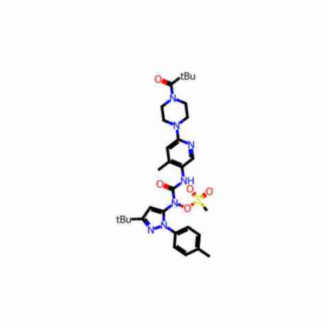 Cc1ccc(-n2nc(C(C)(C)C)cc2N(OS(C)(=O)=O)C(=O)Nc2cnc(N3CCN(C(=O)C(C)(C)C)CC3)cc2C)cc1